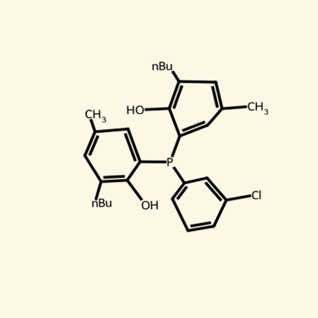 CCCCc1cc(C)cc(P(c2cccc(Cl)c2)c2cc(C)cc(CCCC)c2O)c1O